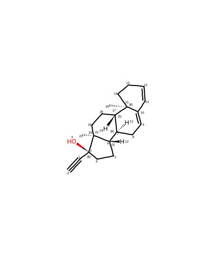 C#C[C@@]1(O)CC[C@H]2[C@@H]3CC=C4C=CCC[C@]4(C)[C@H]3CC[C@@]21C